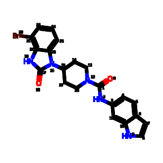 O=C(Nc1ccc2cc[nH]c2c1)N1CCC(n2c(=O)[nH]c3c(Br)cccc32)CC1